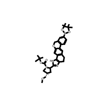 COC[C@H]1CC(c2nc3c([nH]2)-c2cc4c(cc2CC3)-c2ccc(B3OC(C)(C)C(C)(C)O3)cc2CO4)N(C(=O)OC(C)(C)C)C1